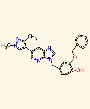 Cc1nn(C)cc1-c1cnc2c(c1)ncn2Cc1ccc(O)c(OCc2ccccc2)c1